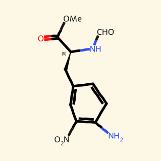 COC(=O)[C@H](Cc1ccc(N)c([N+](=O)[O-])c1)NC=O